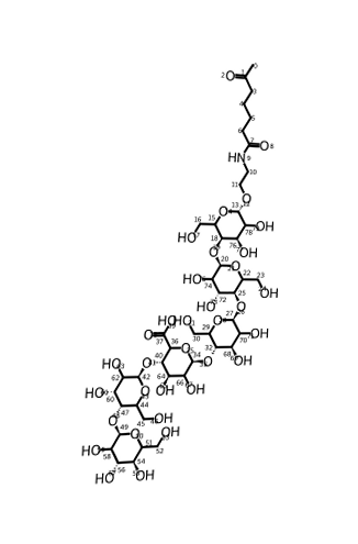 CC(=O)CCCCC(=O)NCCO[C@H]1OC(CO)[C@H](O[C@H]2OC(CO)[C@@H](O[C@@H]3OC(CO)[C@@H](O[C@@H]4OC(C(=O)O)[C@@H](O[C@H]5OC(CO)[C@H](O[C@H]6OC(CO)[C@@H](O)[C@H](O)C6O)[C@H](O)C5O)[C@H](O)C4O)[C@H](O)C3O)[C@H](O)C2O)[C@H](O)C1O